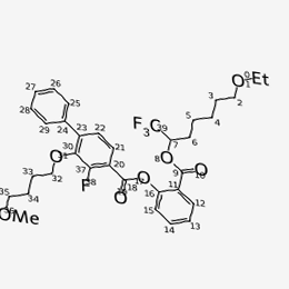 CCOCCCCCC(OC(=O)c1ccccc1OC(=O)c1ccc(-c2ccccc2)c(OCCCCOC)c1F)C(F)(F)F